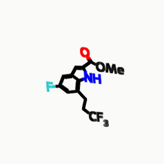 COC(=O)c1cc2cc(F)cc(CCC(F)(F)F)c2[nH]1